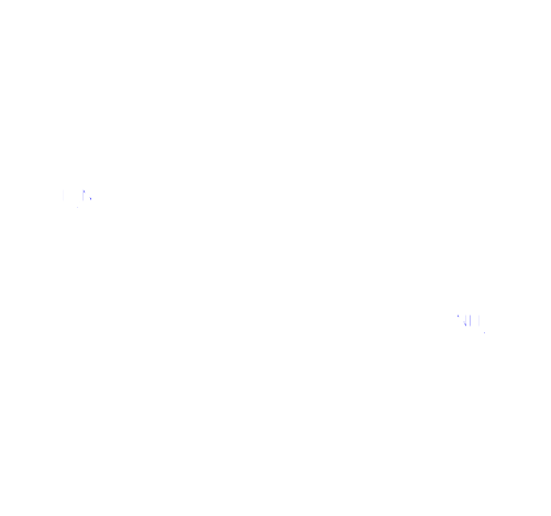 CCCCCCc1cc(N)ccc1CCc1ccc(N)cc1CCCCCC